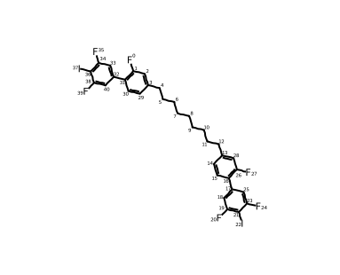 Fc1cc(CCCCCCCCCc2ccc(-c3cc(F)c(I)c(F)c3)c(F)c2)ccc1-c1cc(F)c(I)c(F)c1